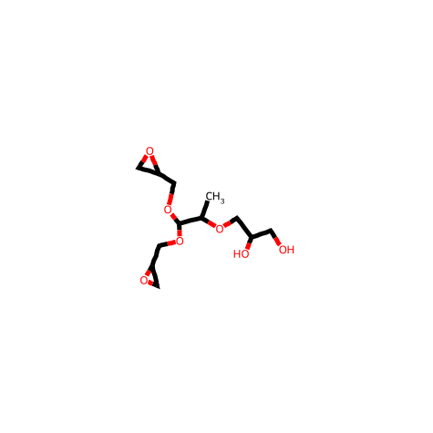 CC(OCC(O)CO)C(OCC1CO1)OCC1CO1